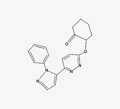 O=C1CCCCC1Oc1ccc(-c2ccnn2-c2ccccc2)nn1